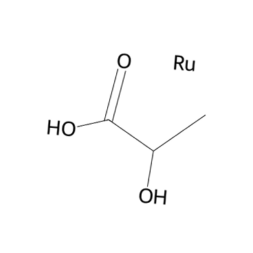 CC(O)C(=O)O.[Ru]